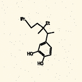 CCC(C)(CCC(C)C)C(C)c1ccc(O)c(O)c1